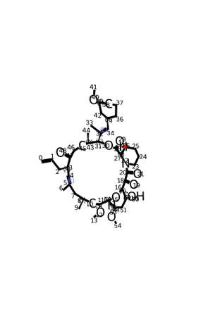 C=CC[C@@H]1/C=C(\C)C[C@H](C)C[C@H](OC)[C@H]2O[C@@](O)(C(=O)C(=O)N3CCCC[C@H]3C(=O)O[C@H](/C(C)=C/[C@@H]3CCC[C@H](OC)C3)[C@H](C)CCC1=O)[C@H](C)C[C@@H]2OC